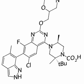 Cc1ccc2c[nH]nc2c1-c1c(Cl)cc2c(N3C[C@@](C)(C(C)(C)C)N(C(=O)O)C[C@@H]3C)nc(OCC3CN(C)CCO3)nc2c1F